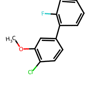 COc1cc(-c2ccc[c]c2F)ccc1Cl